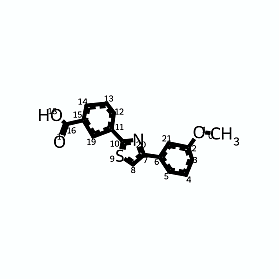 COc1cccc(-c2csc(-c3cccc(C(=O)O)c3)n2)c1